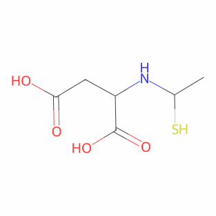 CC(S)NC(CC(=O)O)C(=O)O